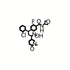 Cn1cc(C(CC(c2ccc(C(=O)NC3COC3)c(F)c2)c2ccccc2Cl)=NO)ccc1=O